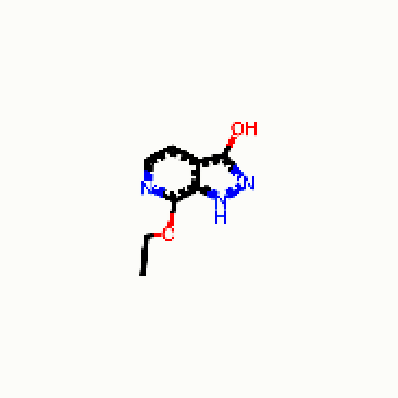 CCOc1nccc2c(O)n[nH]c12